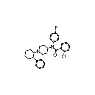 O=C(c1ccccc1Cl)N(c1ccc(F)cc1)C1CCN([C@@H]2CCCC[C@@H]2c2ccccc2)CC1